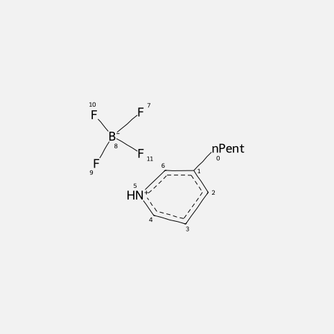 CCCCCc1ccc[nH+]c1.F[B-](F)(F)F